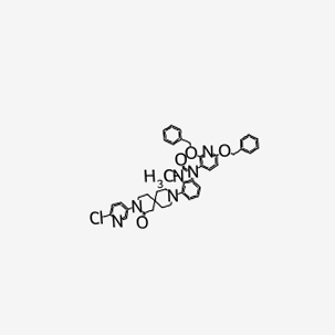 Cn1c(=O)n(-c2ccc(OCc3ccccc3)nc2OCc2ccccc2)c2cccc(N3CCC4(CC3)CCN(c3ccc(Cl)nc3)C(=O)C4)c21